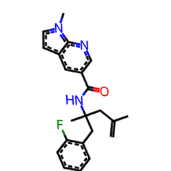 C=C(C)CC(C)(Cc1ccccc1F)NC(=O)c1cnc2c(ccn2C)c1